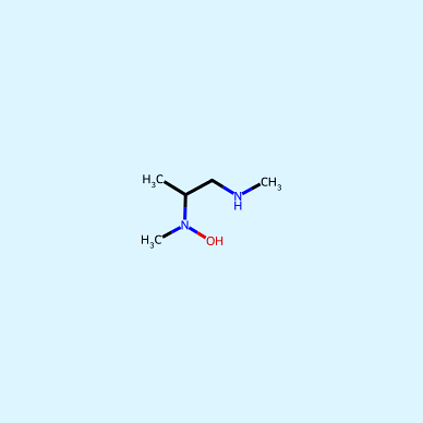 CNCC(C)N(C)O